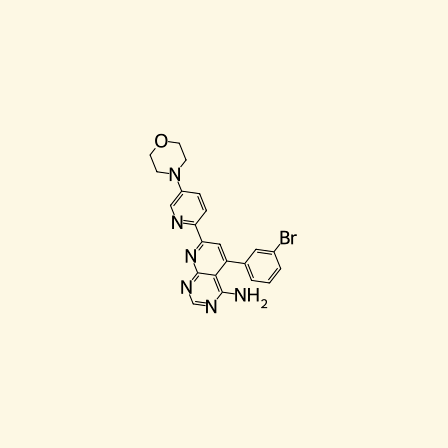 Nc1ncnc2nc(-c3ccc(N4CCOCC4)cn3)cc(-c3cccc(Br)c3)c12